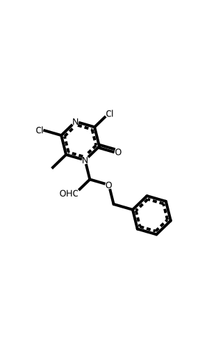 Cc1c(Cl)nc(Cl)c(=O)n1C(C=O)OCc1ccccc1